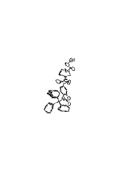 CC(C)(C)OC(=O)N1CCC(S(=O)(=O)c2ccc3c(c2)oc(=O)n3C(c2ccccc2)(c2ccccc2)c2ccccc2)C1